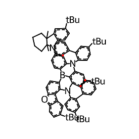 CC(C)(C)c1ccc(N2c3cc(N4c5ccc(C(C)(C)C)cc5C5(C)CCCCC45C)ccc3B3c4ccc5oc6ccc(C(C)(C)C)cc6c5c4N(c4ccc(C(C)(C)C)cc4-c4ccccc4)c4cc(C(C)(C)C)cc2c43)c(-c2ccccc2)c1